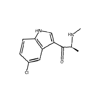 CN[C@@H](C)C(=O)c1c[nH]c2ccc(Cl)cc12